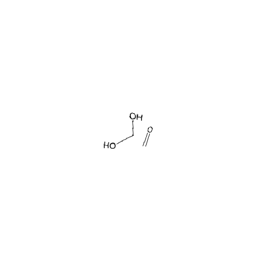 C=O.OCO